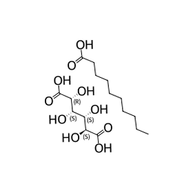 CCCCCCCCCC(=O)O.O=C(O)[C@@H](O)[C@@H](O)[C@H](O)[C@@H](O)C(=O)O